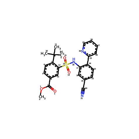 COC(=O)c1ccc(C(C)(C)C)c(S(=O)(=O)Nc2cc(C#N)ccc2-c2ccccn2)c1